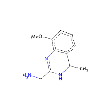 COc1cccc2c1N=C(CN)NC2C